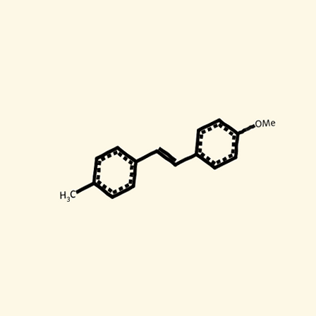 COc1ccc(C=Cc2ccc(C)cc2)cc1